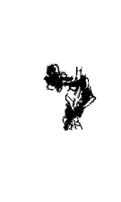 C=CCOC(=O)Nc1ccc2cnn(C(=O)c3cc(NC(=O)c4cc(NC(=O)c5nc(NC(=O)CCCOc6cc7c(cc6OC)C(=O)N6CC(=C)C[C@H]6C(OC6CCCCO6)N7C(=O)OCC=C)cn5C)cn4C)cn3C)c2c1